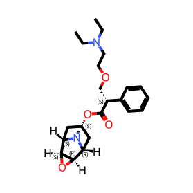 CCN(CC)CCOC[C@@H](C(=O)O[C@@H]1C[C@@H]2[C@H]3O[C@H]3[C@H](C1)N2C)c1ccccc1